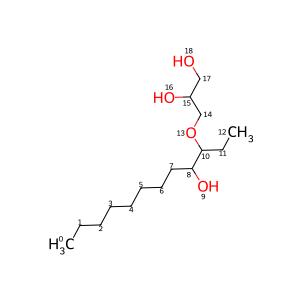 CCCCCCCCC(O)C(CC)OCC(O)CO